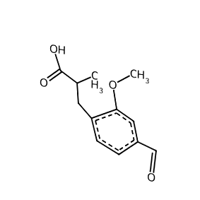 COc1cc(C=O)ccc1CC(C)C(=O)O